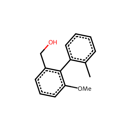 COc1cccc(CO)c1-c1ccccc1C